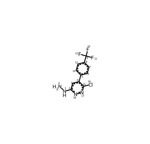 NNc1cc(-c2ccc(C(F)(F)F)cc2)c(Cl)nn1